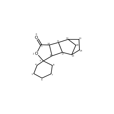 O=C1OC2(CCCCC2)C2C1C1C3CCC(C3)C12